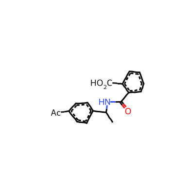 CC(=O)c1ccc(C(C)NC(=O)c2ccccc2C(=O)O)cc1